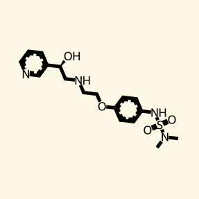 CN(C)S(=O)(=O)Nc1ccc(OCCNC[C@H](O)c2cccnc2)cc1